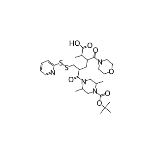 CC(C(=O)O)C(CC(CSSc1ccccn1)C(=O)N1CC(C)N(C(=O)OC(C)(C)C)CC1C)C(=O)N1CCOCC1